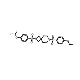 CCOc1ccc(S(=O)(=O)N2CCC3(CC2)CN(S(=O)(=O)c2ccc(OC(F)F)cc2)C3)cc1